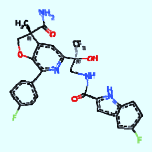 C[C@]1(C(N)=O)COc2c1cc([C@@](O)(CNC(=O)c1cc3cc(F)ccc3[nH]1)C(F)(F)F)nc2-c1ccc(F)cc1